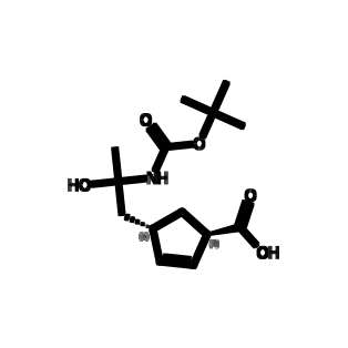 CC(O)(C[C@H]1C=C[C@H](C(=O)O)C1)NC(=O)OC(C)(C)C